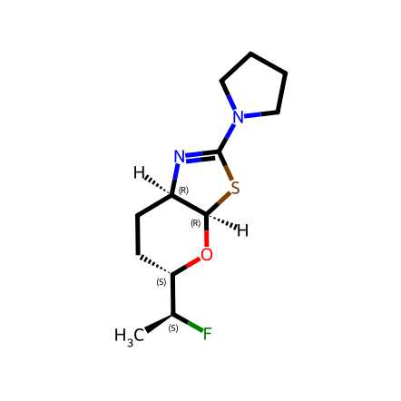 C[C@H](F)[C@@H]1CC[C@H]2N=C(N3CCCC3)S[C@H]2O1